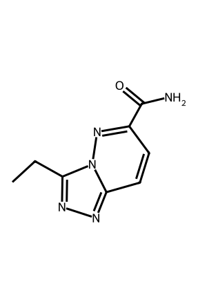 CCc1nnc2ccc(C(N)=O)nn12